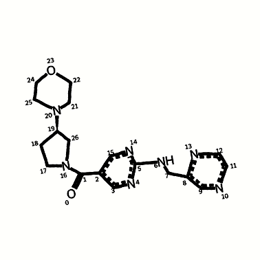 O=C(c1cnc(NCc2cnccn2)nc1)N1CC[C@@H](N2CCOCC2)C1